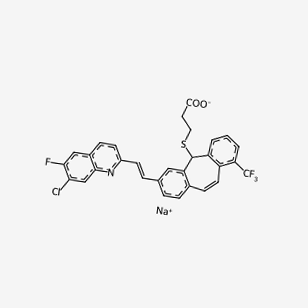 O=C([O-])CCSC1c2cc(C=Cc3ccc4cc(F)c(Cl)cc4n3)ccc2C=Cc2c1cccc2C(F)(F)F.[Na+]